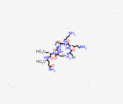 CC(C)C[C@H](NC(=O)[C@H](CC(C)C)NC(=O)[C@H](CCCCN)NC(=O)[C@H](CCCCN)NC(=O)[C@@H](N)CC(C)C)C(=O)N[C@@H](CCC(=O)O)C(=O)N[C@@H](CCC(N)=O)C(=O)O